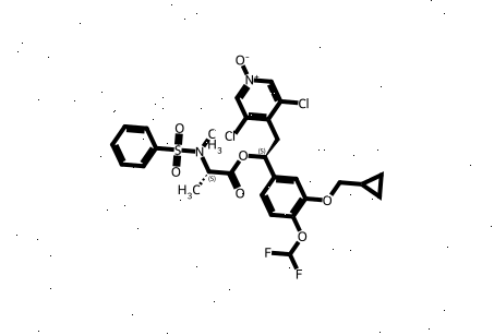 C[C@@H](C(=O)O[C@@H](Cc1c(Cl)c[n+]([O-])cc1Cl)c1ccc(OC(F)F)c(OCC2CC2)c1)N(C)S(=O)(=O)c1ccccc1